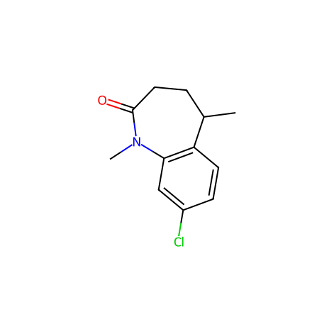 CC1CCC(=O)N(C)c2cc(Cl)ccc21